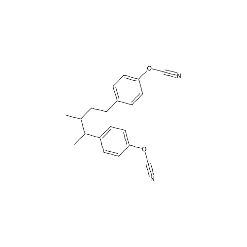 CC(CCc1ccc(OC#N)cc1)C(C)c1ccc(OC#N)cc1